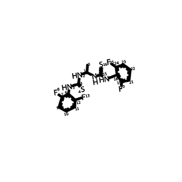 CC(NC(=S)Nc1c(F)cccc1F)NC(=S)Nc1c(F)cccc1F